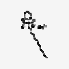 CCCCCCCCCCCCC(C(=O)[O-])(C(=O)[O-])c1ccccc1.[Mg+2]